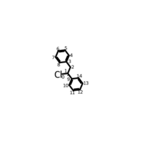 Cl[C](Cc1ccccc1)c1ccccc1